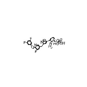 NC1C(c2cc(Cc3cnc(Oc4cc(F)cc(F)c4)c(F)c3)no2)=CC=CN1COP(=O)(O)O